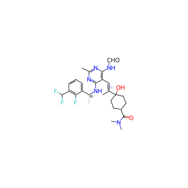 C/C(=C\c1c(NC=O)nc(C)nc1N[C@H](C)c1cccc(C(F)F)c1F)C1(O)CCC(C(=O)N(C)C)CC1